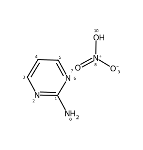 Nc1ncccn1.O=[N+]([O-])O